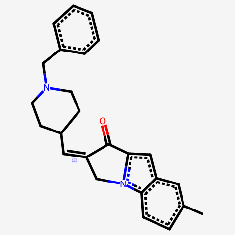 Cc1ccc2c(c1)cc1n2C/C(=C/C2CCN(Cc3ccccc3)CC2)C1=O